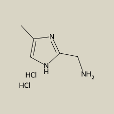 Cc1c[nH]c(CN)n1.Cl.Cl